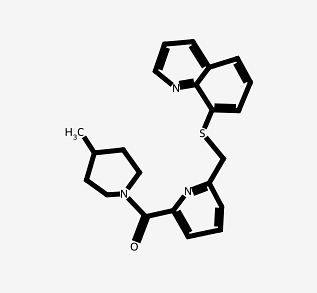 CC1CCN(C(=O)c2cccc(CSc3cccc4cccnc34)n2)CC1